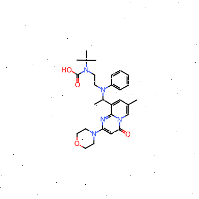 Cc1cc(C(C)N(CCN(C(=O)O)C(C)(C)C)c2ccccc2)c2nc(N3CCOCC3)cc(=O)n2c1